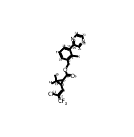 Cc1c(COC(=O)C2C(/C=C(\Cl)C(F)(F)F)C2(C)C)cccc1-c1cnccn1